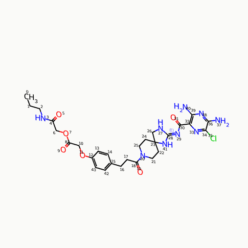 CCCNC(=O)COC(=O)COc1ccc(CCC(=O)N2CCC3(CC2)CN/C(=N\C(=O)c2nc(Cl)c(N)nc2N)N3)cc1